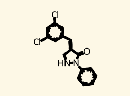 O=C1C(=Cc2cc(Cl)cc(Cl)c2)CNN1c1ccccc1